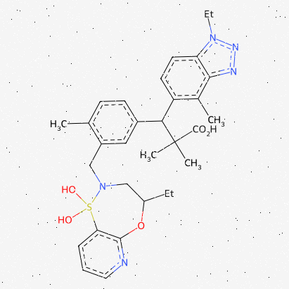 CCC1CN(Cc2cc(C(c3ccc4c(nnn4CC)c3C)C(C)(C)C(=O)O)ccc2C)S(O)(O)c2cccnc2O1